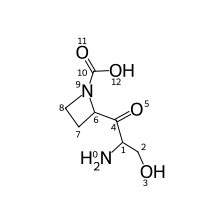 NC(CO)C(=O)C1CCN1C(=O)O